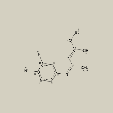 CCO/C(O)=C/C(C)=N\c1cnc(Br)c(F)c1